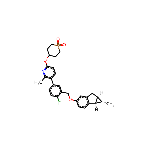 Cc1nc(OC2CCS(=O)(=O)CC2)ccc1-c1ccc(F)c(COc2ccc3c(c2)C[C@H]2[C@H](C)[C@@H]32)c1